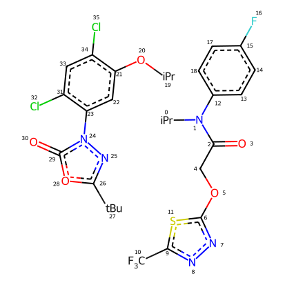 CC(C)N(C(=O)COc1nnc(C(F)(F)F)s1)c1ccc(F)cc1.CC(C)Oc1cc(-n2nc(C(C)(C)C)oc2=O)c(Cl)cc1Cl